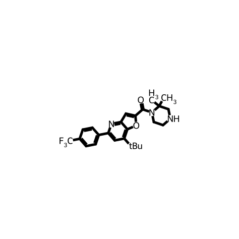 CC(C)(C)c1cc(-c2ccc(C(F)(F)F)cc2)nc2cc(C(=O)N3CCNCC3(C)C)oc12